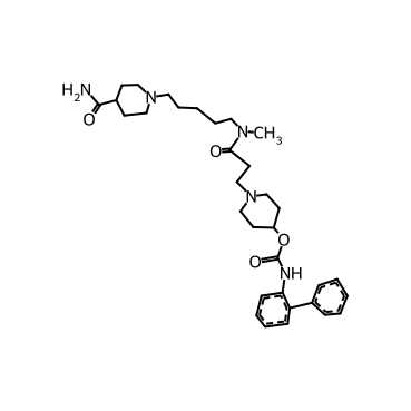 CN(CCCCCN1CCC(C(N)=O)CC1)C(=O)CCN1CCC(OC(=O)Nc2ccccc2-c2ccccc2)CC1